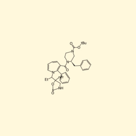 CCCC1(C(CC)N2C=CC=CC(C(=O)N3CCN(C(=O)OC(C)(C)C)C[C@H]3Cc3ccccc3)=C2c2ccccc2)CNC(=O)O1